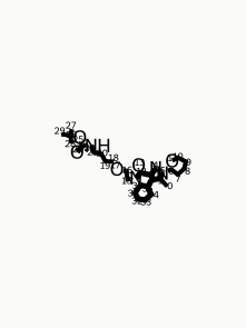 Cc1c2c(nn1C1CCCCO1)c(=O)n(CCOCCCCNC(=O)OC(C)(C)C)c1ccccc21